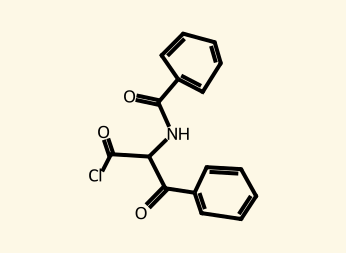 O=C(NC(C(=O)Cl)C(=O)c1ccccc1)c1ccccc1